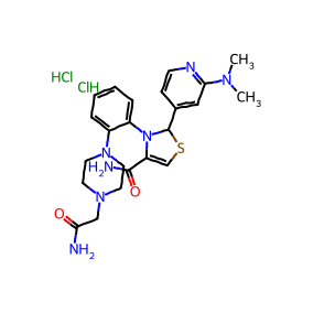 CN(C)c1cc(C2SC=C(C(N)=O)N2c2ccccc2N2CCN(CC(N)=O)CC2)ccn1.Cl.Cl